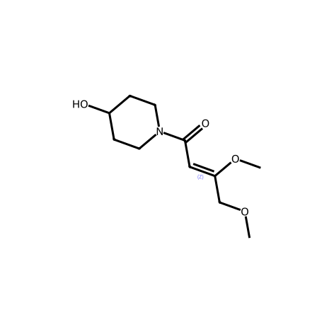 COC/C(=C/C(=O)N1CCC(O)CC1)OC